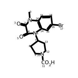 Cn1c(=O)c(=O)n(C2CCN(C(=O)O)CC2)c2cc(Br)ccc21